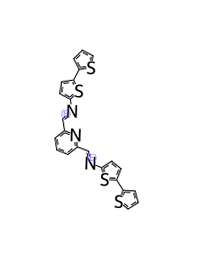 C(=N\c1ccc(-c2cccs2)s1)/c1cccc(/C=N/c2ccc(-c3cccs3)s2)n1